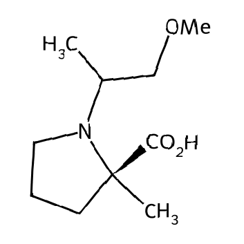 COCC(C)N1CCC[C@]1(C)C(=O)O